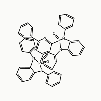 O=P1(c2cc(P3(=O)N(c4ccccc4)c4ccccc4N3c3ccccc3)nc(-c3ccccc3)n2)N(c2ccccc2)c2ccccc2N1c1ccccc1